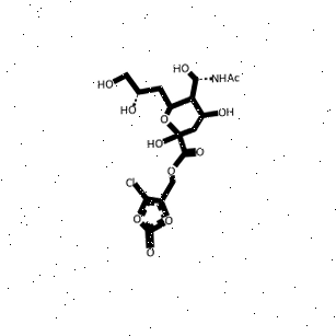 CC(=O)N[C@@H](O)C1C(O)CC(O)(C(=O)OCc2oc(=O)oc2Cl)OC1C[C@H](O)CO